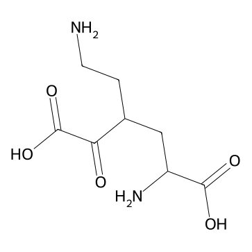 NCCC(CC(N)C(=O)O)C(=O)C(=O)O